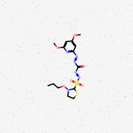 CCCON1CCSC1S(=O)(=O)N=NC(=O)N=Nc1cc(OC)cc(OC)n1